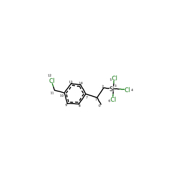 CC(C[Si](Cl)(Cl)Cl)c1ccc(CCl)cc1